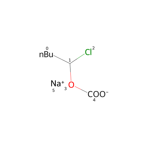 CCCCC(Cl)OC(=O)[O-].[Na+]